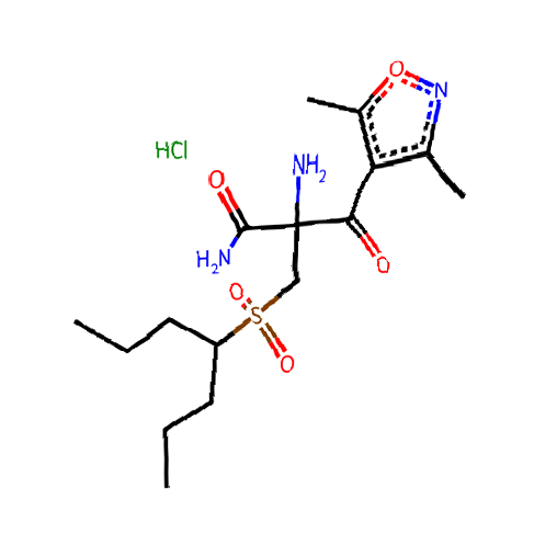 CCCC(CCC)S(=O)(=O)CC(N)(C(N)=O)C(=O)c1c(C)noc1C.Cl